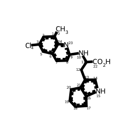 Cc1cc(Cl)cc2ccc(NC(Cc3c[nH]c4ccccc34)C(=O)O)nc12